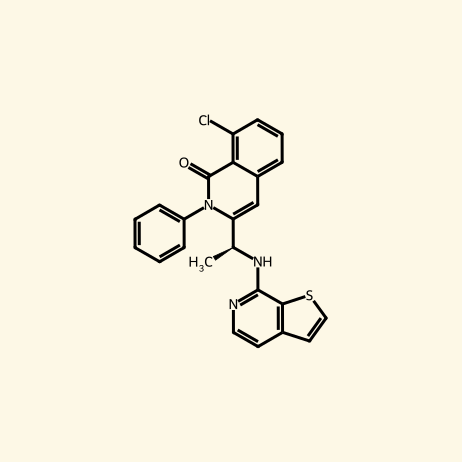 C[C@H](Nc1nccc2ccsc12)c1cc2cccc(Cl)c2c(=O)n1-c1ccccc1